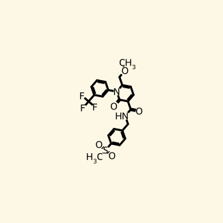 COCc1ccc(C(=O)NCc2ccc(S(C)(=O)=O)cc2)c(=O)n1-c1cccc(C(F)(F)F)c1